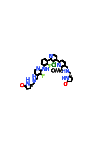 COc1nc(-c2ccnc(-c3cccc(Nc4nccc(CNC[C@H]5CCC(=O)N5)c4F)c3F)c2Cl)ccc1CNC[C@@H]1CCC(=O)N1